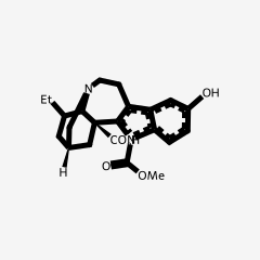 CCC1C[C@@H]2CN3CCc4c(n(C(=O)OC)c5ccc(O)cc45)[C@](C(=O)O)(C2)C13